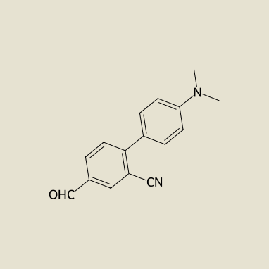 CN(C)c1ccc(-c2ccc(C=O)cc2C#N)cc1